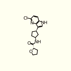 O=C(N[C@H]1CC[C@@H](c2c[nH]c3ccc(Cl)nc23)C1)[C@@H]1CCCO1